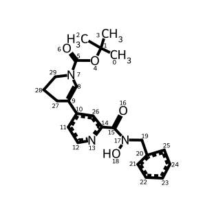 CC(C)(C)OC(=O)N1C=C(c2ccnc(C(=O)N(O)Cc3ccccc3)c2)CCC1